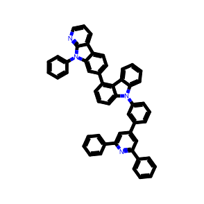 c1ccc(-c2cc(-c3cccc(-n4c5ccccc5c5c(-c6ccc7c8cccnc8n(-c8ccccc8)c7c6)cccc54)c3)cc(-c3ccccc3)n2)cc1